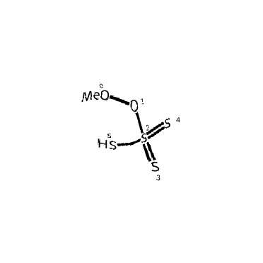 COOS(=S)(=S)S